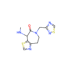 CNC1C(=O)N(Cc2ncsn2)CCc2ncsc21